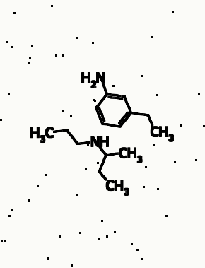 CCCNC(C)CC.CCc1cccc(N)c1